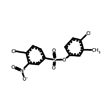 Cc1cc(OS(=O)(=O)c2ccc(Cl)c([N+](=O)[O-])c2)ccc1Cl